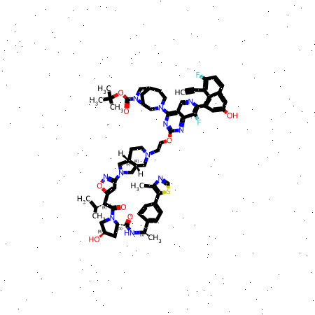 C#Cc1c(F)ccc2cc(O)cc(-c3ncc4c(N5CCC6CC(C5)N(C(=O)OC(C)(C)C)C6)nc(OCCN5CC[C@H]6CN(c7cc([C@H](C(=O)N8C[C@H](O)C[C@H]8C(=O)N[C@@H](C)c8ccc(-c9scnc9C)cc8)C(C)C)on7)C[C@H]6C5)nc4c3F)c12